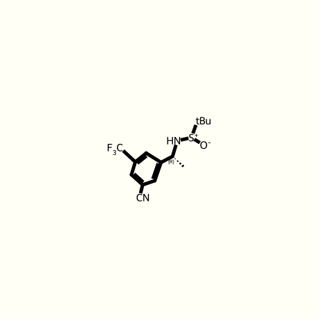 C[C@@H](N[S+]([O-])C(C)(C)C)c1cc(C#N)cc(C(F)(F)F)c1